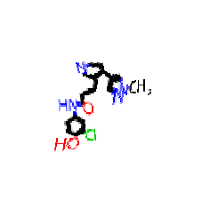 Cn1cc(-c2ccncc2C=CC(=O)Nc2ccc(O)c(Cl)c2)cn1